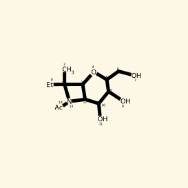 CCC1(C)C2OC(CO)C(O)C(O)C2N1C(C)=O